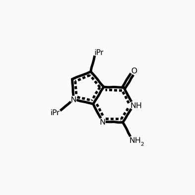 CC(C)c1cn(C(C)C)c2nc(N)[nH]c(=O)c12